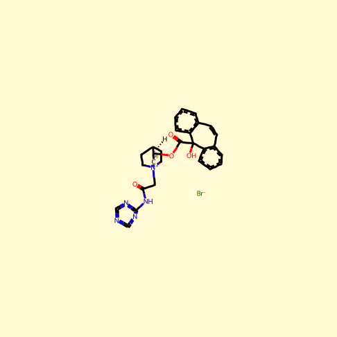 O=C(C[N+]12CCC(CC1)[C@@H](OC(=O)C1(O)c3ccccc3C=Cc3ccccc31)C2)Nc1ncncn1.[Br-]